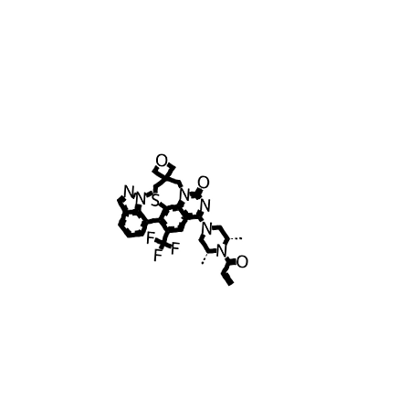 C=CC(=O)N1[C@H](C)CN(c2nc(=O)n3c4c(c(-c5cccc6cnn(C)c56)c(C(F)(F)F)cc24)SCC2(COC2)C3)C[C@@H]1C